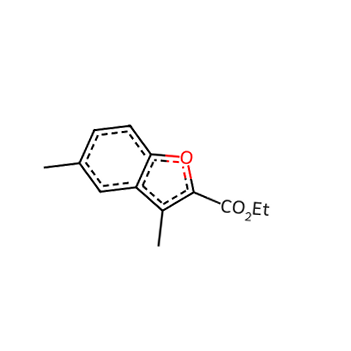 CCOC(=O)c1oc2ccc(C)cc2c1C